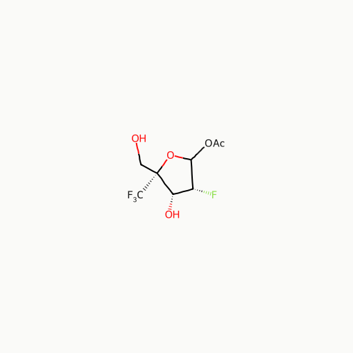 CC(=O)OC1O[C@@](CO)(C(F)(F)F)[C@@H](O)[C@H]1F